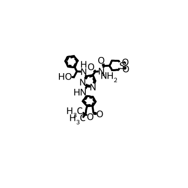 CC1(C)OC(=O)c2ccc(Nc3ncc(C(=O)N(N)C(=O)C4CCS(=O)(=O)CC4)c(NC(CO)c4ccccc4)n3)cc21